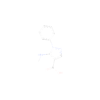 CNc1c(C(=O)O)cnn1-c1ccccc1